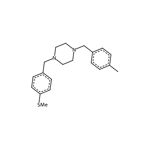 CSc1ccc(CN2CCN(Cc3ccc(C)cc3)CC2)cc1